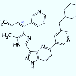 C=C/C=C(/c1cccnc1)c1nc(-c2n[nH]c3ccc(-c4cncc(CC5CCCCC5)c4)nc23)[nH]c1C